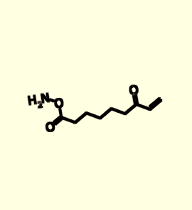 C=CC(=O)CCCCCC(=O)ON